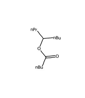 CCCCC(=O)OC(CCC)CCCC